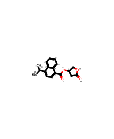 CC(c1ccc(C(=O)OC2COC(=O)C2)c2ccccc12)C(C)(C)C